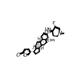 CN1CCC(N[C@H]2CC[C@]3(C)[C@H]4CC[C@]5(C)[C@@H](c6ccc(=O)oc6)CC[C@]5(O)[C@@H]4CC[C@]3(O)C2)[C@H](F)C1